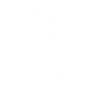 CCN(CCOCC(=O)C(C)(C)C)C(c1ccccc1)c1ccccc1